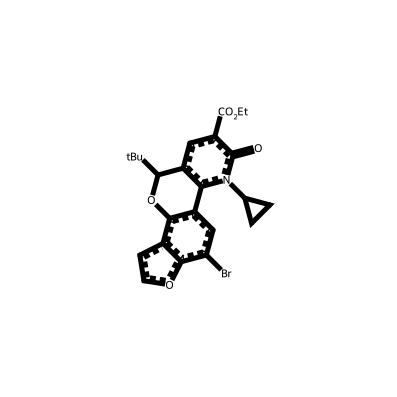 CCOC(=O)c1cc2c(n(C3CC3)c1=O)-c1cc(Br)c3occc3c1OC2C(C)(C)C